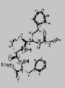 COC(=O)[C@@H](Cc1ccccc1)NC(=O)[C@H](CC(C)C)NC(=O)[C@H](CCc1ccccc1)NC(=O)OC(C)(C)C